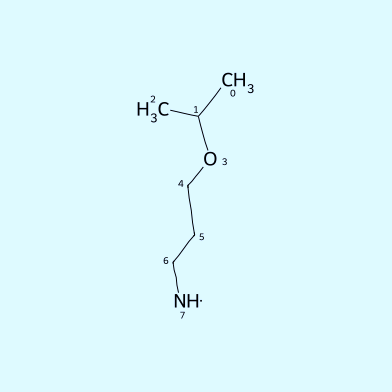 CC(C)OCCC[NH]